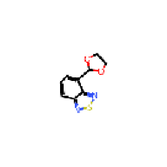 c1cc(C2OCCO2)c2nsnc2c1